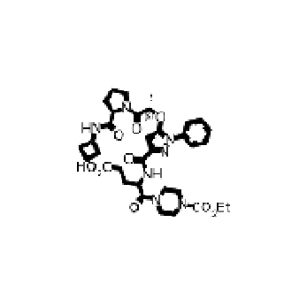 CCOC(=O)N1CCN(C(=O)C(CCC(=O)O)NC(=O)c2cc(O[C@@H](C)C(=O)N3CCCC3C(=O)NC3CCC3)n(-c3ccccc3)n2)CC1